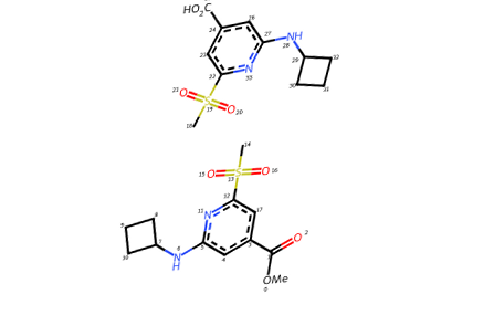 COC(=O)c1cc(NC2CCC2)nc(S(C)(=O)=O)c1.CS(=O)(=O)c1cc(C(=O)O)cc(NC2CCC2)n1